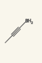 BC#CC